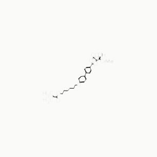 C=C(C)C(=O)OCCCCCCOc1ccc(-c2ccc(C3O[C@@H](C(=O)O)[C@H](C(=O)OC)O3)cc2)cc1